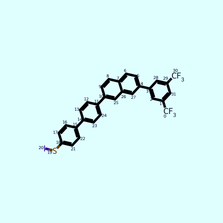 FC(F)(F)c1cc(-c2ccc3ccc(-c4ccc(-c5ccc(SI)cc5)cc4)cc3c2)cc(C(F)(F)F)c1